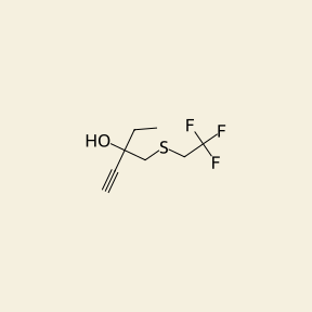 C#CC(O)(CC)CSCC(F)(F)F